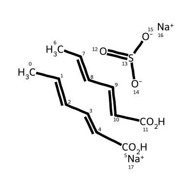 CC=CC=CC(=O)O.CC=CC=CC(=O)O.O=S([O-])[O-].[Na+].[Na+]